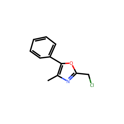 Cc1nc(CCl)oc1-c1ccccc1